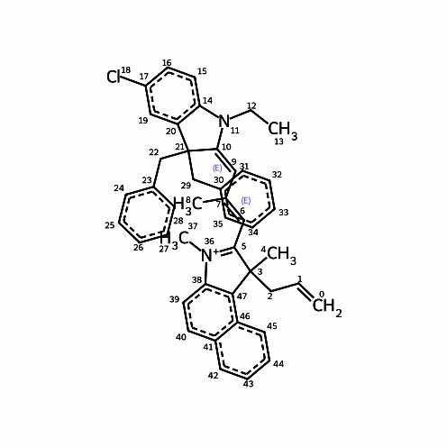 C=CCC1(C)C(/C=C(C)/C=C2/N(CC)c3ccc(Cl)cc3C2(Cc2ccccc2)Cc2ccccc2)=[N+](C)c2ccc3ccccc3c21